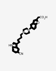 N#Cc1ccc2[nH]cc(/C=C/CCN3CCN(c4ccc5oc(CC(=O)O)cc5c4)CC3)c2c1